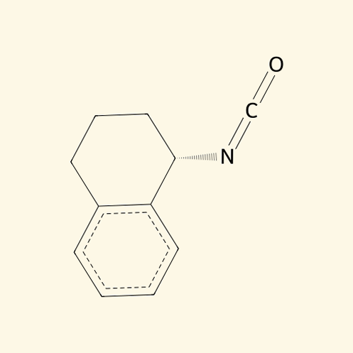 O=C=N[C@H]1CCCc2ccccc21